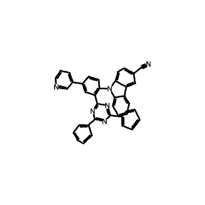 N#Cc1ccc2c(c1)c1ccccc1n2-c1ccc(-c2cccnc2)cc1-c1nc(-c2ccccc2)nc(-c2ccccc2)n1